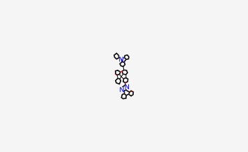 c1ccc(-n2c3ccccc3c3cc(-c4ccc5c(c4)C4(c6ccccc6-c6ccccc64)c4cc(-c6cnc7c8ccccc8c8ccccc8c7n6)ccc4-5)ccc32)cc1